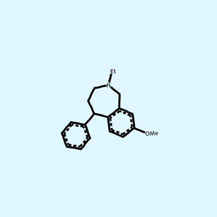 CCN1CCC(c2ccccc2)c2ccc(OC)cc2C1